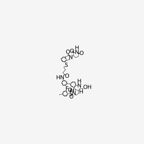 Cc1ccc(S(=O)(=O)N2CC[C@@H]3[C@H](CO)Nc4ccc(-c5cc(NC(=O)CCCSc6cccc7c6CN(C6CCC(=O)NC6=O)C7=O)ccc5F)cc4[C@@H]32)cc1